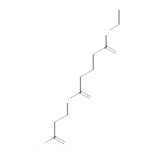 CCOC(=O)CCCC(=O)NCCC(=O)O